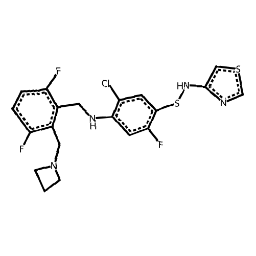 Fc1cc(NCc2c(F)ccc(F)c2CN2CCC2)c(Cl)cc1SNc1cscn1